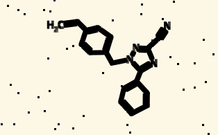 C=Cc1ccc(Cn2nc(C#N)nc2-c2ccccc2)cc1